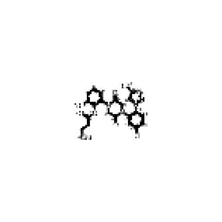 CC(C)(C)CCC(=O)Oc1c(C#N)cccc1N1CC(=O)N(c2cc(Cl)ccc2-n2cc(Cl)nn2)CC1=O